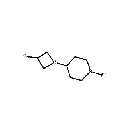 CC(C)N1CCC(N2CC(F)C2)CC1